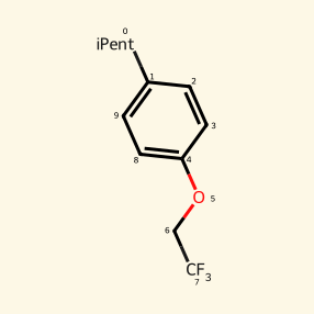 CCCC(C)c1ccc(OCC(F)(F)F)cc1